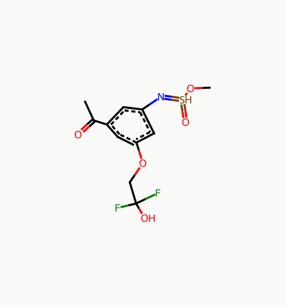 CO[SH](=O)=Nc1cc(OCC(O)(F)F)cc(C(C)=O)c1